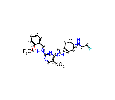 O=[N+]([O-])c1cnc(NCc2ccccc2OC(F)(F)F)nc1NC[C@H]1CC[C@H](NCCF)CC1